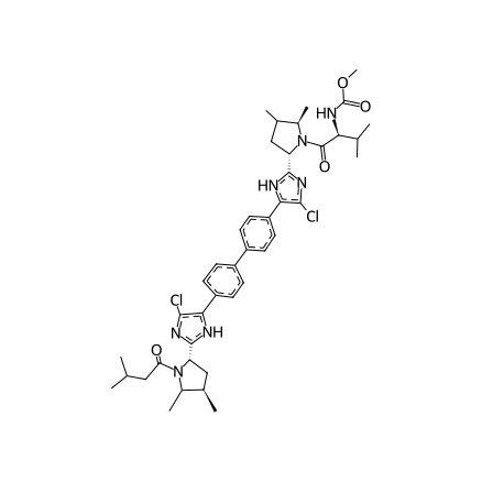 COC(=O)N[C@H](C(=O)N1[C@H](C)C(C)C[C@H]1c1nc(Cl)c(-c2ccc(-c3ccc(-c4[nH]c([C@@H]5C[C@@H](C)C(C)N5C(=O)CC(C)C)nc4Cl)cc3)cc2)[nH]1)C(C)C